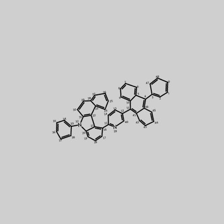 c1ccc(-c2c3ccccc3c(-c3ccc(-c4cccc5c4c4c6ccccc6ccc4n5-c4ccccc4)nc3)c3ccccc23)cc1